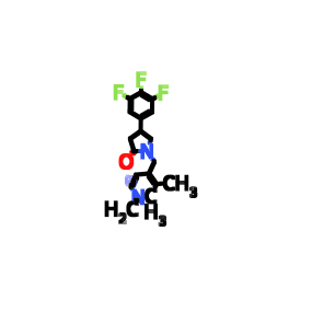 C=N/C=C\C(CN1CC(c2cc(F)c(F)c(F)c2)CC1=O)=C(C)C